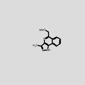 COCc1nc2c(C)n[nH]c2c2ccccc12